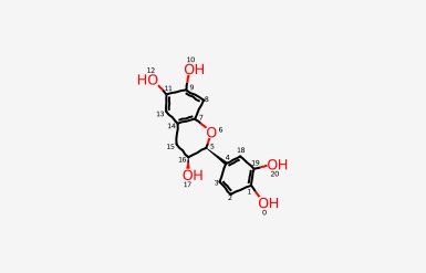 Oc1ccc([C@@H]2Oc3cc(O)c(O)cc3C[C@@H]2O)cc1O